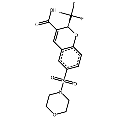 O=C(O)C1=Cc2cc(S(=O)(=O)N3CCOCC3)ccc2O[C@@H]1C(F)(F)F